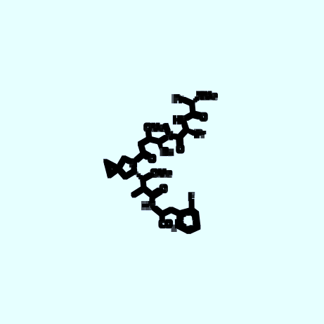 CC[C@H](C)C(C(CC(=O)N1CC2(CC2)C[C@H]1C(OC)C(C)C(=O)NC(Cc1ccccc1F)C(=O)O)OC)N(C)C(=O)[C@@H](NC(=O)[C@@H](NC)C(C)C)C(C)C